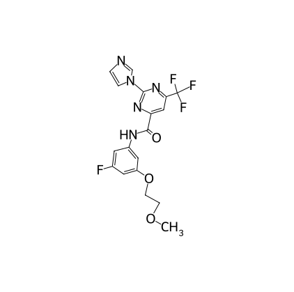 COCCOc1cc(F)cc(NC(=O)c2cc(C(F)(F)F)nc(-n3ccnc3)n2)c1